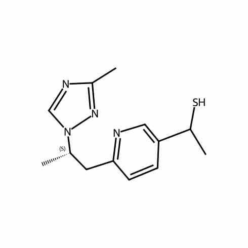 Cc1ncn([C@@H](C)Cc2ccc(C(C)S)cn2)n1